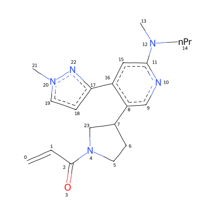 C=CC(=O)N1CCC(c2cnc(N(C)CCC)cc2-c2ccn(C)n2)C1